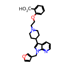 O=C(O)c1ccccc1OCCN1CCC(c2cn(Cc3ccoc3)c3ncccc23)CC1